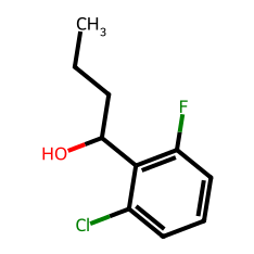 CCCC(O)c1c(F)cccc1Cl